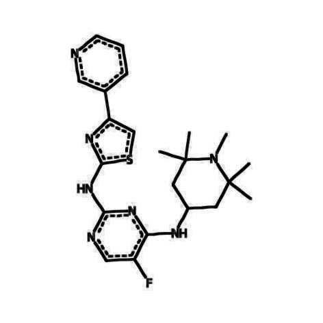 CN1C(C)(C)CC(Nc2nc(Nc3nc(-c4cccnc4)cs3)ncc2F)CC1(C)C